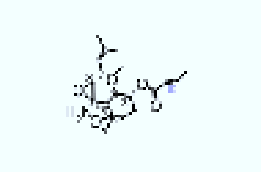 C/C=C/C(=O)O[C@@H]1CC[C@]2(CO2)[C@@H]([C@@]2(N)O[C@@H]2CC=C(C)C)[C@@H]1OC